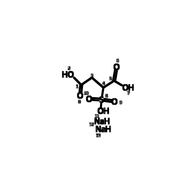 O=C(O)CC(C(=O)O)S(=O)(=O)O.[NaH].[NaH]